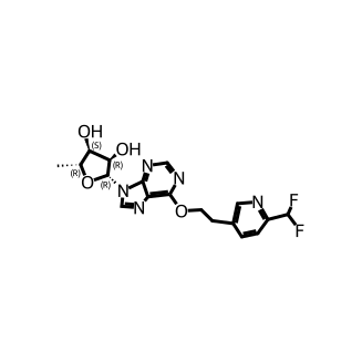 C[C@H]1O[C@@H](n2cnc3c(OCCc4ccc(C(F)F)nc4)ncnc32)[C@H](O)[C@@H]1O